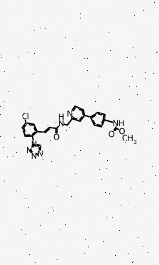 COC(=O)Nc1ccc(-c2ccnc(CNC(=O)/C=C/c3cc(Cl)ccc3-n3cnnn3)c2)cc1